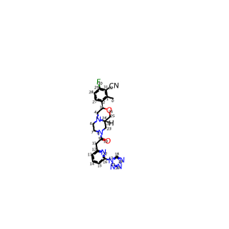 Cc1c([C@@H]2CN3CCN(C(=O)Cc4cccc(-n5cnnn5)n4)C[C@H]3CO2)ccc(F)c1C#N